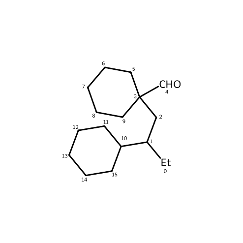 CCC(CC1(C=O)CCCCC1)C1CCCCC1